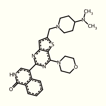 CN(C)C1CCN(Cc2cc3nc(-c4c[nH]c(=O)c5ccccc45)nc(N4CCOCC4)c3s2)CC1